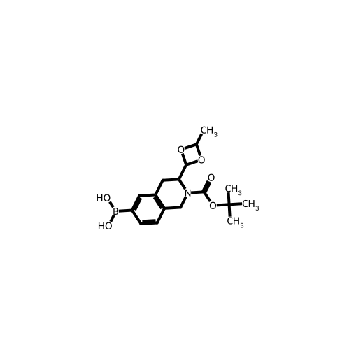 CC1OC(C2Cc3cc(B(O)O)ccc3CN2C(=O)OC(C)(C)C)O1